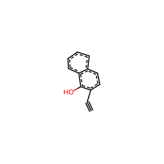 C#Cc1ccc2ccccc2c1O